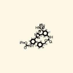 CC(C)OC(=O)Nc1ccc(-c2ncc(-c3cc(NC(=O)OCc4ccccc4)ccc3S(=O)(=O)NC(C)(C)C)s2)cc1